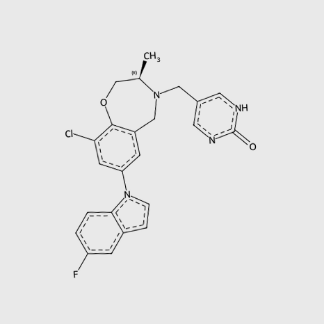 C[C@@H]1COc2c(Cl)cc(-n3ccc4cc(F)ccc43)cc2CN1Cc1cnc(=O)[nH]c1